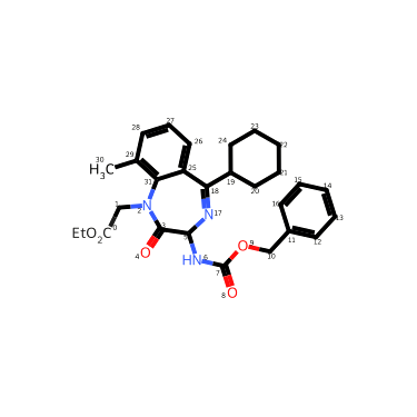 CCOC(=O)CN1C(=O)C(NC(=O)OCc2ccccc2)N=C(C2CCCCC2)c2cccc(C)c21